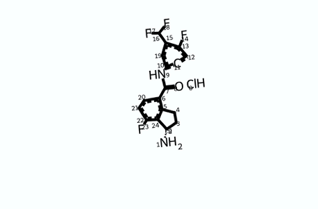 Cl.N[C@H]1CCc2c(C(=O)Nc3ccc(F)c(C(F)F)c3)ccc(F)c21